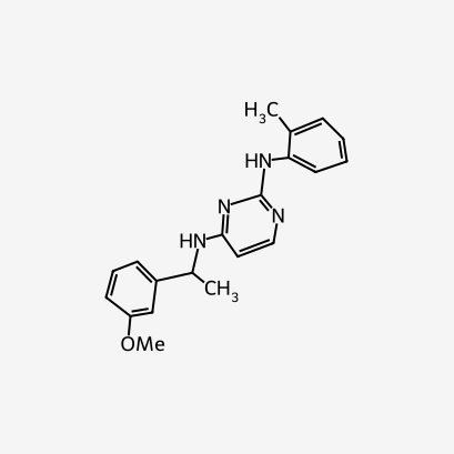 COc1cccc(C(C)Nc2ccnc(Nc3ccccc3C)n2)c1